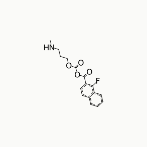 CNCCCOC(=O)OC(=O)c1ccc2ccccc2c1F